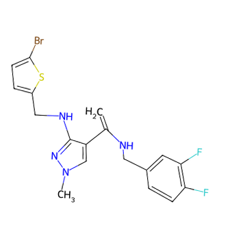 C=C(NCc1ccc(F)c(F)c1)c1cn(C)nc1NCc1ccc(Br)s1